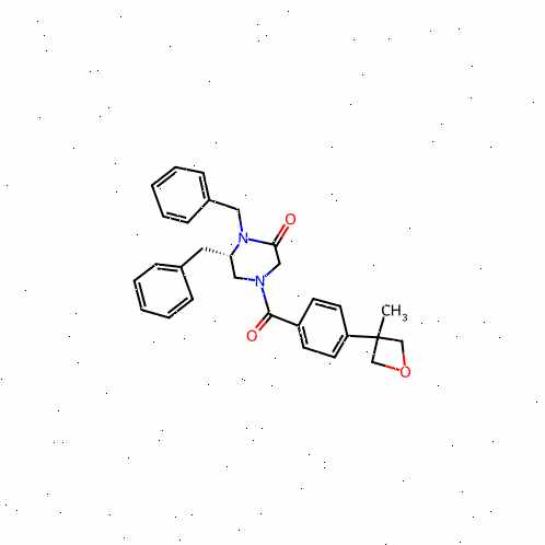 CC1(c2ccc(C(=O)N3CC(=O)N(Cc4ccccc4)[C@@H](Cc4ccccc4)C3)cc2)COC1